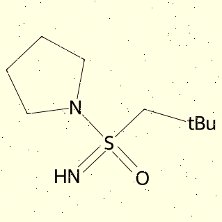 CC(C)(C)CS(=N)(=O)N1CCCC1